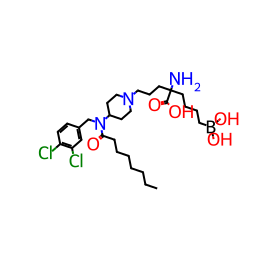 CCCCCCCC(=O)N(Cc1ccc(Cl)c(Cl)c1)C1CCN(CCCC(N)(CCCCB(O)O)C(=O)O)CC1